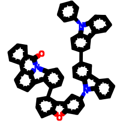 O=c1c2ccccc2c2cccc3c4c(-c5cccc6oc7ccc(-n8c9ccccc9c9cc(-c%10ccc%11c(c%10)c%10ccccc%10n%11-c%10ccccc%10)ccc98)cc7c56)cccc4n1c23